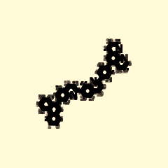 c1ccc2c(c1)cc(-c1ccc3ccc(-c4ccc5ccc(-c6ccc(-c7cc8cccnc8c8ncccc78)cc6)nc5c4)nc3c1)c1ccccc12